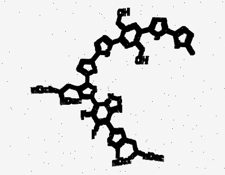 CCCCCCCCCCC(CCCCCCCC)Cc1cc(-c2c(F)c(F)c(-c3cc(CC(CCCCCCCC)CCCCCCCCCC)c(-c4ccc(-c5ccc(-c6cc(CO)c(-c7ccc(-c8ccc(C)s8)s7)cc6CO)s5)s4)s3)c3nsnc23)sc1C